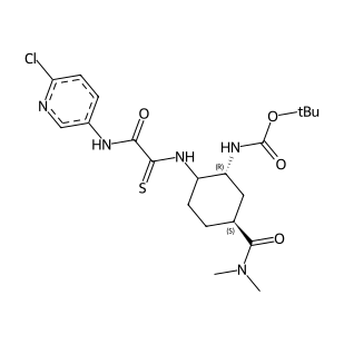 CN(C)C(=O)[C@H]1CCC(NC(=S)C(=O)Nc2ccc(Cl)nc2)[C@H](NC(=O)OC(C)(C)C)C1